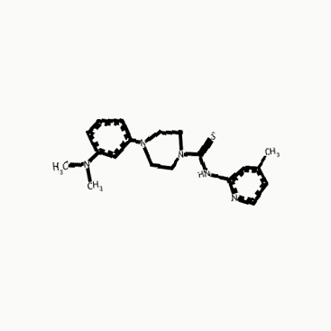 Cc1ccnc(NC(=S)N2CCN(c3cccc(N(C)C)c3)CC2)c1